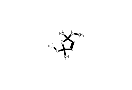 COC1(O)C=CC(O)(OC)O1